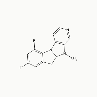 CN1c2cnccc2N2c3c(F)cc(F)cc3CC12